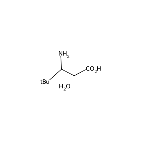 CC(C)(C)C(N)CC(=O)O.O